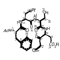 CC(=O)N[C@@H](Cc1ccccc1)C(=O)N[C@@H](CC(C)C)C(=O)N[C@H](C(=O)N[C@@H](CC(=O)O)C(=O)CCl)[C@@H](C)O